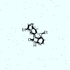 CCOc1ccnc2[nH]c(=O)n(-c3ccc4ncc(CC)n4n3)c12